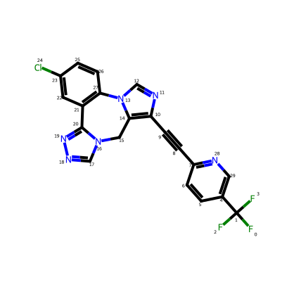 FC(F)(F)c1ccc(C#Cc2ncn3c2Cn2cnnc2-c2cc(Cl)ccc2-3)nc1